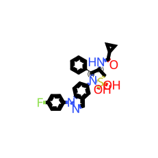 O=C(N[C@H]1CS(O)(O)N(c2ccc3c(cnn3-c3ccc(F)cc3)c2)[C@@H]1c1ccccc1)C1CC1